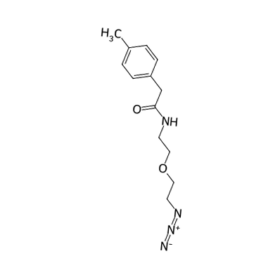 Cc1ccc(CC(=O)NCCOCCN=[N+]=[N-])cc1